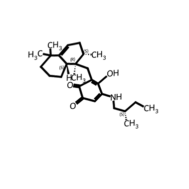 CC[C@H](C)CNC1=CC(=O)C(=O)C(C[C@@]2(C)[C@@H]3CCCC(C)(C)C3=CC[C@@H]2C)=C1O